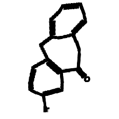 O=C1Cc2ccccc2Cc2ccc(Br)cc21